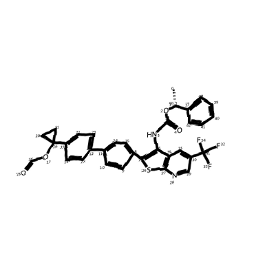 C[C@@H](OC(=O)Nc1c(-c2ccc(-c3ccc(C4(OC=O)CC4)cc3)cc2)sc2ncc(C(F)(F)F)cc12)c1ccccc1